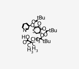 CC(C)(C)C(=O)O.CC(C)(C)C(=O)O[C@@H]1[C@@H](OC(=O)C(C)(C)C)[C@H](OC(=O)C(C)(C)C)CS[C@H]1Oc1cccnc1